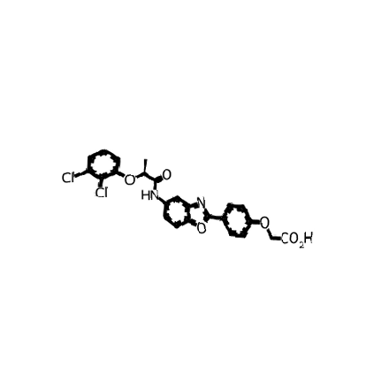 C[C@H](Oc1cccc(Cl)c1Cl)C(=O)Nc1ccc2oc(-c3ccc(OCC(=O)O)cc3)nc2c1